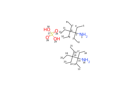 CCC(N)(CC)C(CC)(CC)CC.CCC(N)(CC)C(CC)(CC)CC.O=S(=O)(O)O